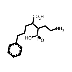 NCCC(C(CCCc1ccccc1)C(=O)O)[PH](=O)O